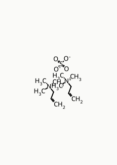 C=CC[N+](C)(C)C.C=CC[N+](C)(C)C.O=S(=O)([O-])[O-]